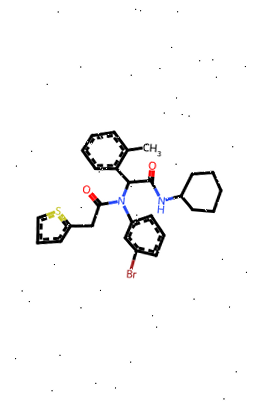 Cc1ccccc1C(C(=O)NC1CCCCC1)N(C(=O)Cc1cccs1)c1cccc(Br)c1